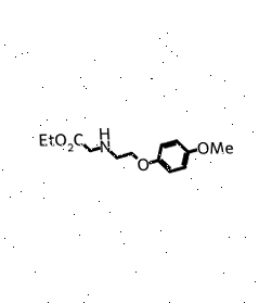 CCOC(=O)CNCCOc1ccc(OC)cc1